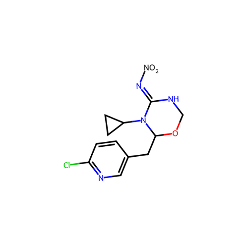 O=[N+]([O-])N=C1NCOC(Cc2ccc(Cl)nc2)N1C1CC1